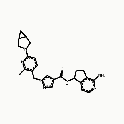 Cc1nc(N2CC3CC3C2)ccc1Cn1cc(C(=O)NC2CCc3c2ccnc3N)cn1